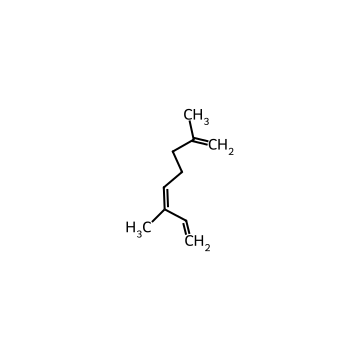 C=C/C(C)=C\CCC(=C)C